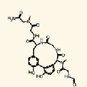 CN(CC(N)=O)C(=O)CNC(=O)C1Cc2ccc(O)c(c2)-c2cc(ccc2O)C(N(C)C(=O)CNC=O)C(=O)NCC(=O)N1